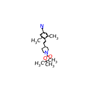 Cc1cc(C#N)cc(C)c1/C=C/C1CCN(C(=O)OC(C)(C)C)CC1